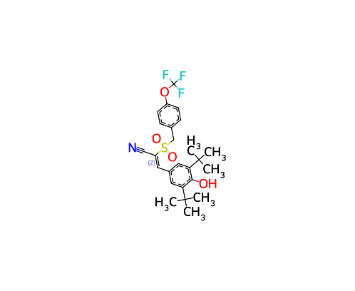 CC(C)(C)c1cc(/C=C(/C#N)S(=O)(=O)Cc2ccc(OC(F)(F)F)cc2)cc(C(C)(C)C)c1O